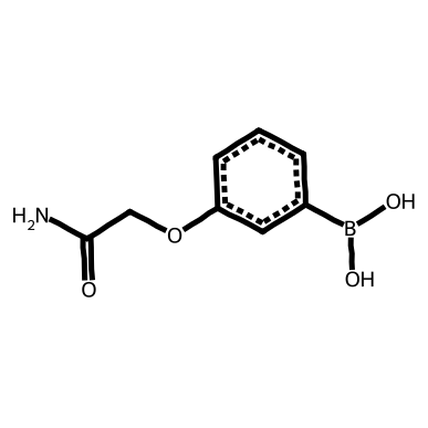 NC(=O)COc1cccc(B(O)O)c1